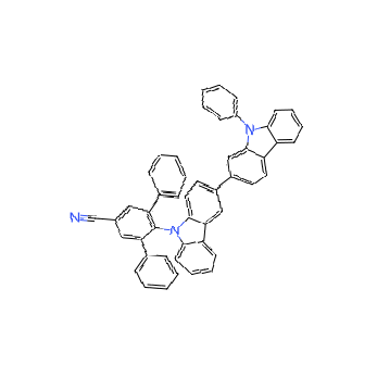 N#Cc1cc(-c2ccccc2)c(-n2c3ccccc3c3cc(-c4ccc5c6ccccc6n(-c6ccccc6)c5c4)ccc32)c(-c2ccccc2)c1